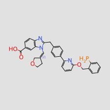 O=C(O)c1ccc2nc(Cc3ccc(-c4cccc(OCc5ccccc5P)n4)cc3)n(/C=C3/CCOC3)c2c1